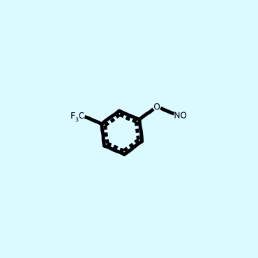 O=NOc1cccc(C(F)(F)F)c1